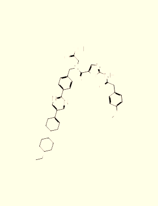 CC[C@H]1CC[C@H](C2CC=C(c3cnc(-c4ccc(CN(CC(=O)O)C(=O)c5cnc(NC(=O)Cc6ccc(OC)cc6)o5)cc4)nc3)CC2)CC1